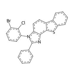 Clc1c(Br)cccc1-n1c(-c2ccccc2)nc2c3sc4ccccc4c3ccc21